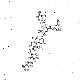 Cc1c(COc2cc(OCc3cncc(C#N)c3)c(CNC[C@@H]3CCC(=O)N3)cc2Cl)cccc1-c1cccc(-c2ccn3c(=O)c(CNCC4CCC(=O)N4)ccc3c2)c1C